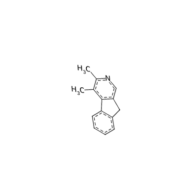 Cc1ncc2c(c1C)-c1ccccc1C2